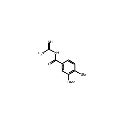 COc1cc(C(=O)NC(=N)N)ccc1C(C)(C)C